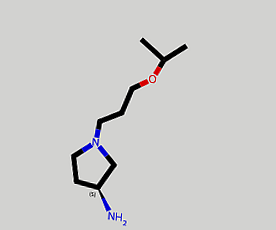 CC(C)OCCCN1CC[C@H](N)C1